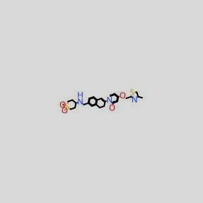 CC1CSC(COc2ccn(C3=Cc4ccc(CNC5CCS(=O)(=O)CC5)cc4CC3)c(=O)c2)=N1